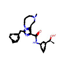 C[C@H](O)c1cccc(NC(=O)c2nc(Cc3ccccc3)n3c2CN(C)CC3)c1